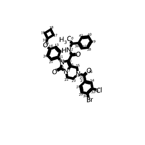 CC(NC(=O)c1c2n(c(=O)n1-c1ccc(OC3CCC3)cc1)CCN(C(=O)c1ccc(Br)c(Cl)c1)C2)c1ccccc1